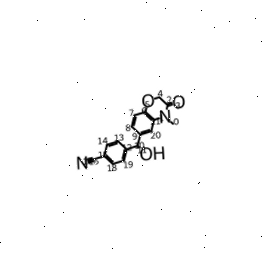 CN1C(=O)COc2ccc(C(O)c3ccc(C#N)cc3)cc21